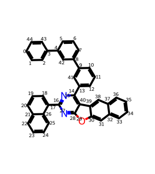 c1ccc(-c2cccc(-c3cccc(-c4nc(-c5cccc6ccccc56)nc5oc6cc7ccccc7cc6c45)c3)c2)cc1